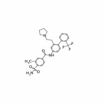 Cc1cc(C(=O)Nc2ccc(-c3ccccc3C(F)(F)F)c(CCN3CCCC3)c2)ccc1S(N)(=O)=O